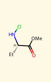 CC[C@H](NCl)C(=O)OC